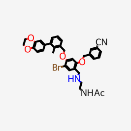 CC(=O)NCCNCc1cc(Br)c(OCc2cccc(-c3ccc4c(c3)OCCO4)c2C)cc1OCc1cccc(C#N)c1